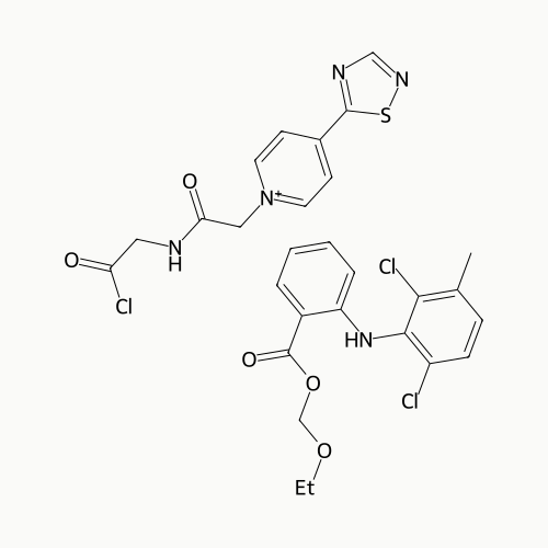 CCOCOC(=O)c1ccccc1Nc1c(Cl)ccc(C)c1Cl.O=C(Cl)CNC(=O)C[n+]1ccc(-c2ncns2)cc1